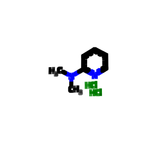 CN(C)c1ccccn1.Cl.Cl